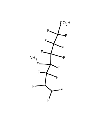 N.O=C(O)C(F)(F)C(F)(F)C(F)(F)C(F)(F)C(F)(F)C(F)C(F)F